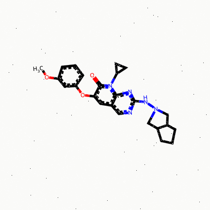 COc1cccc(Oc2cc3cnc(NN4CC5CCCC5C4)nc3n(C3CC3)c2=O)c1